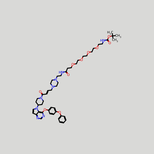 CC(C)(C)OC(=O)NCCOCCOCCOCCOCCC(=O)NCCN1CCN(C/C=C/C(=O)N2CCC(n3ccc4ncnc(Oc5ccc(Oc6ccccc6)cc5)c43)CC2)CC1